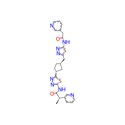 C[C@@H](C(=O)Nc1nnc([C@H]2CC[C@@H](Cc3nnc(NC(=O)Cc4cccnc4)s3)C2)s1)c1cccnc1